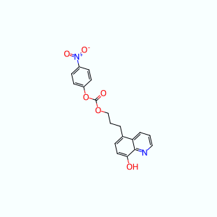 O=C(OCCCc1ccc(O)c2ncccc12)Oc1ccc([N+](=O)[O-])cc1